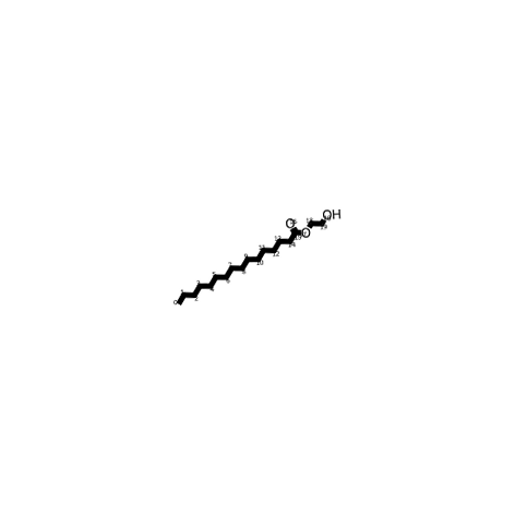 CCCCCCCCCCCCCCCC(=O)OCCO